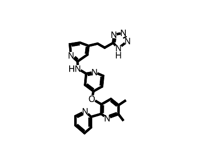 Cc1cc(Oc2ccnc(Nc3cc(CCc4nnn[nH]4)ccn3)c2)c(-c2ccccn2)nc1C